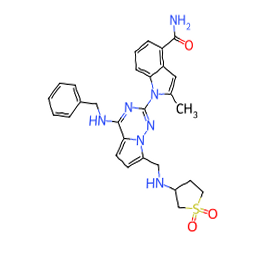 Cc1cc2c(C(N)=O)cccc2n1-c1nc(NCc2ccccc2)c2ccc(CNC3CCS(=O)(=O)C3)n2n1